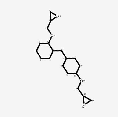 C1CCC(OCC2CO2)C(CC2CCC(OCC3CO3)CC2)C1